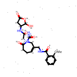 COc1ccccc1C(=O)NCC1=CC[C]C(=O)[N@@+](CC(=O)NC2CC(=O)OC2O)(C(N)=O)C1